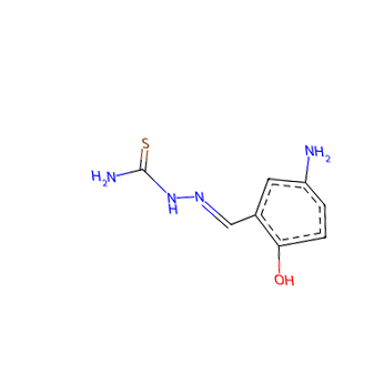 NC(=S)NN=Cc1cc(N)ccc1O